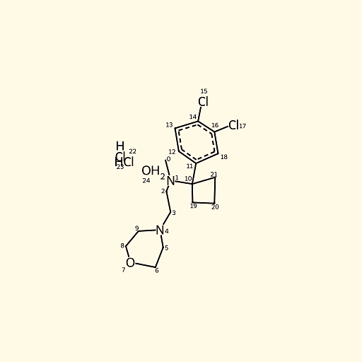 CN(CCN1CCOCC1)C1(c2ccc(Cl)c(Cl)c2)CCC1.Cl.Cl.O